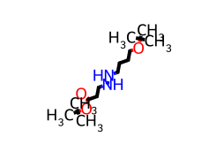 CC(C)(C)OCCCCNNCCC(=O)OC(C)(C)C